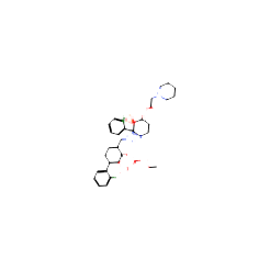 CCOC(=O)O[C@H]1C(=O)C(c2ccccc2Cl)CCC1CN[C@]1(c2ccccc2Cl)CCC[C@H](OC(=O)CN2CCCCC2)C1=O